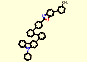 Cc1cccc(-c2ccc3nc(-c4ccc(-c5ccccc5-c5ccccc5-c5ccc6c(c5)c5ccccc5n6-c5ccccc5)cc4)oc3c2)c1